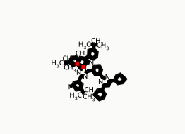 Cc1cc(-c2nc(-c3cc(I)cc(C(C)(C)C)c3)nc(-c3cc(-c4nc(-c5ccccc5)cc(-c5ccccc5)n4)ccc3-n3c4ccccc4c4cc(C(C)(C)C)ccc43)n2)cc(C(C)(C)C)c1